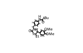 CCC1SC(=O)N(Cc2ccc(NC(=O)C(C)(C)C)cc2)N=C1c1ccc(OC)c(OC)c1